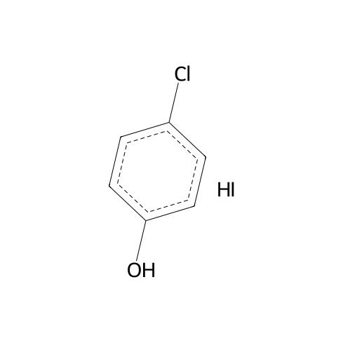 I.Oc1ccc(Cl)cc1